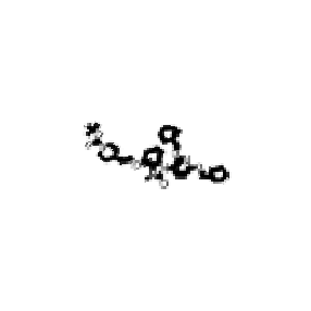 Cn1c(=O)n(-c2ccc(OCc3ccccc3)nc2OCc2ccccc2)c2cccc(OCCC3CCN(C(=O)OC(C)(C)C)CC3)c21